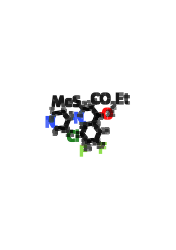 CCOC(=O)c1c(SC)n(-c2ccncc2Cl)c2cc(F)c(F)cc2c1=O